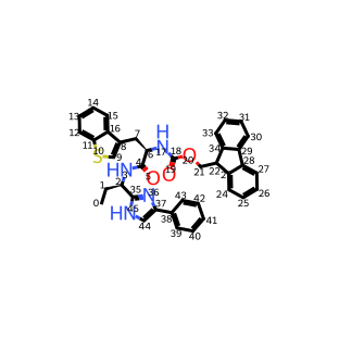 CC[C@@H](NC(=O)[C@@H](Cc1csc2ccccc12)NC(=O)OCC1c2ccccc2-c2ccccc21)c1nc(-c2ccccc2)c[nH]1